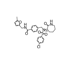 Cc1ccc(CNC(=O)c2ccc(CN([C@@H]3CCCCNC3=O)S(=O)(=O)c3ccc(Cl)cc3)cc2)o1